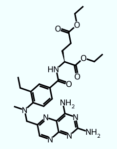 CCOC(=O)CC[C@H](NC(=O)c1ccc(N(C)Cc2cnc3nc(N)nc(N)c3n2)c(CC)c1)C(=O)OCC